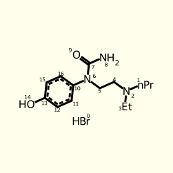 Br.CCCN(CC)CCN(C(N)=O)c1ccc(O)cc1